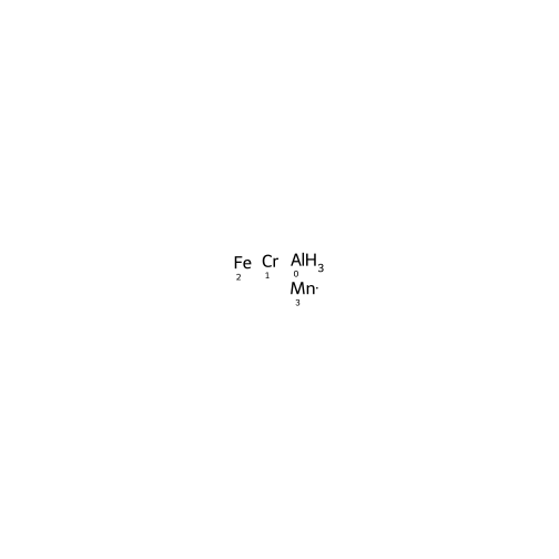 [AlH3].[Cr].[Fe].[Mn]